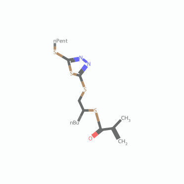 C=C(C)C(=O)SC(CCCC)CSc1nnc(SCCCCC)s1